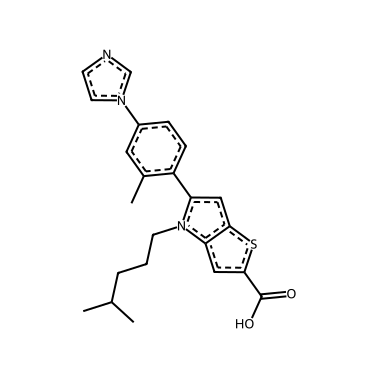 Cc1cc(-n2ccnc2)ccc1-c1cc2sc(C(=O)O)cc2n1CCCC(C)C